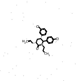 C=CC[C@@H]1C[C@H](c2cccc(Cl)c2)C(c2ccc(Cl)cc2)N(CCC)C1=O